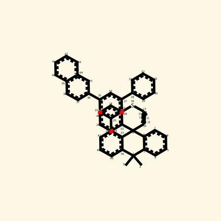 CC1(C)c2ccccc2C2(c3ccccc3Sc3ccccc32)c2c(-c3nc(-c4ccccc4)cc(-c4ccc5ccccc5c4)n3)cccc21